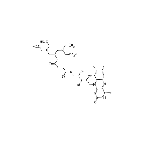 Cc1cc2nc3c(=O)[nH]c(=O)nc-3n(CC(O)C(O)C(O)COC(=O)CCC(=O)OC(CN(CC(=O)O)CC(=O)O)CN(CC(=O)O)CC(=O)O)c2cc1C